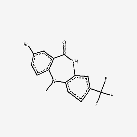 CN1c2ccc(C(F)(F)F)cc2NC(=O)c2cc(Br)ccc21